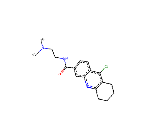 CCCN(CCC)CCNC(=O)c1ccc2c(Cl)c3c(nc2c1)CCCC3